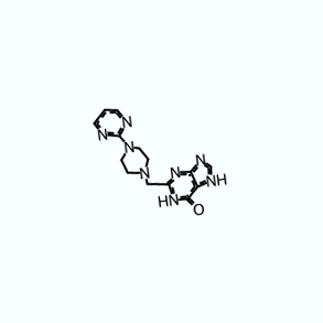 O=c1[nH]c(CN2CCN(c3ncccn3)CC2)nc2nc[nH]c12